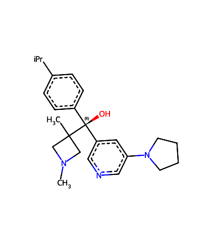 CC(C)c1ccc([C@](O)(c2cncc(N3CCCC3)c2)C2(C)CN(C)C2)cc1